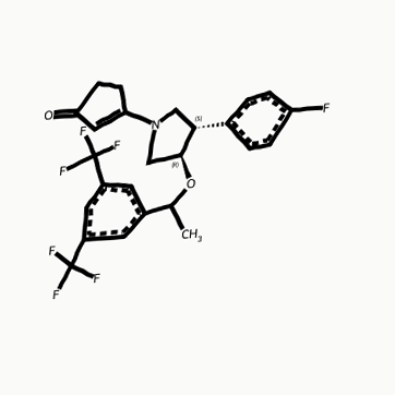 CC(O[C@H]1CN(C2=CC(=O)CC2)C[C@@H]1c1ccc(F)cc1)c1cc(C(F)(F)F)cc(C(F)(F)F)c1